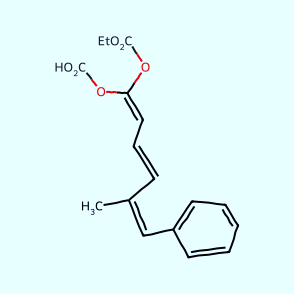 CCOC(=O)OC(=CC=CC(C)=Cc1ccccc1)OC(=O)O